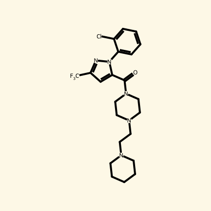 O=C(c1cc(C(F)(F)F)nn1-c1ccccc1Cl)N1CCN(CCN2CCCCC2)CC1